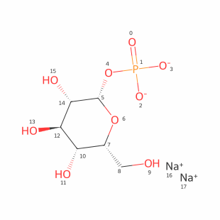 O=P([O-])([O-])O[C@@H]1O[C@H](CO)[C@H](O)[C@@H](O)[C@@H]1O.[Na+].[Na+]